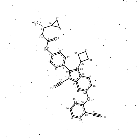 C[C@@H](OC(=O)Nc1ccc(-c2c(C#N)c3cc(Oc4ncccc4C#N)ccc3n2C2CCC2)cc1)C1CC1